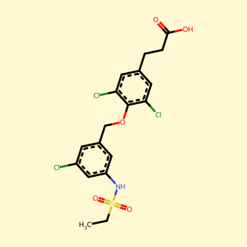 CCS(=O)(=O)Nc1cc(Cl)cc(COc2c(Cl)cc(CCC(=O)O)cc2Cl)c1